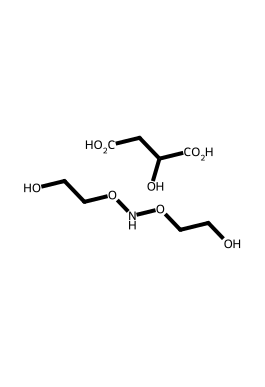 O=C(O)CC(O)C(=O)O.OCCONOCCO